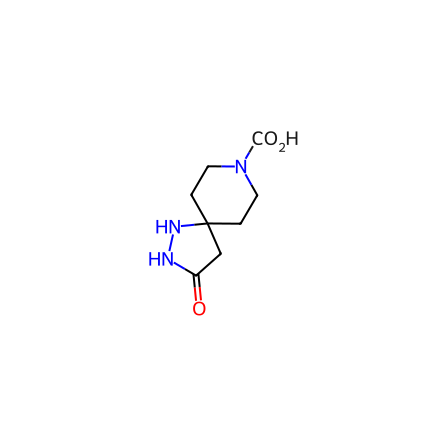 O=C1CC2(CCN(C(=O)O)CC2)NN1